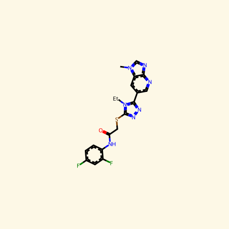 CCn1c(SCC(=O)Nc2ccc(F)cc2F)nnc1-c1cnc2ncn(C)c2c1